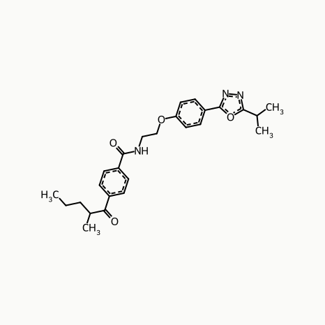 CCCC(C)C(=O)c1ccc(C(=O)NCCOc2ccc(-c3nnc(C(C)C)o3)cc2)cc1